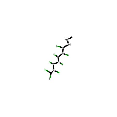 CBBB(F)B(F)B(F)B(F)B(F)B(F)[C](F)F